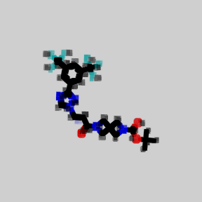 CC(C)(C)OC(=O)N1CC2(CN(C(=O)/C=C/n3cnc(-c4cc(C(F)(F)F)cc(C(F)(F)F)c4)n3)C2)C1